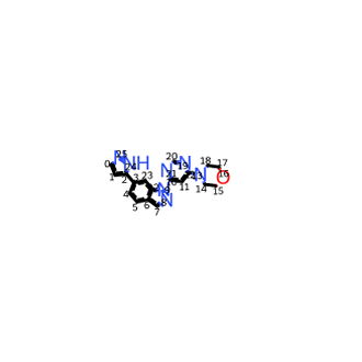 c1cc(-c2ccc3cnn(-c4cc(N5CCOCC5)ncn4)c3c2)[nH]n1